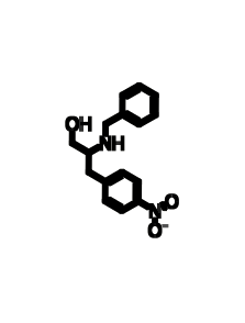 O=[N+]([O-])c1ccc(CC(CO)NCc2ccccc2)cc1